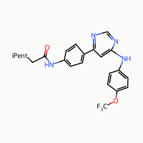 CCCC(C)CC(=O)Nc1ccc(-c2cc(Nc3ccc(OC(F)(F)F)cc3)ncn2)cc1